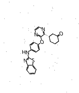 O=C1CCC[C@H](c2nccnc2Oc2ccc(Nc3nc4ccccc4s3)cc2)C1